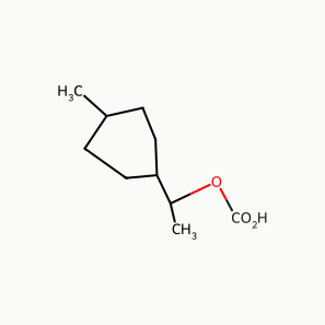 CC1CCC(C(C)OC(=O)O)CC1